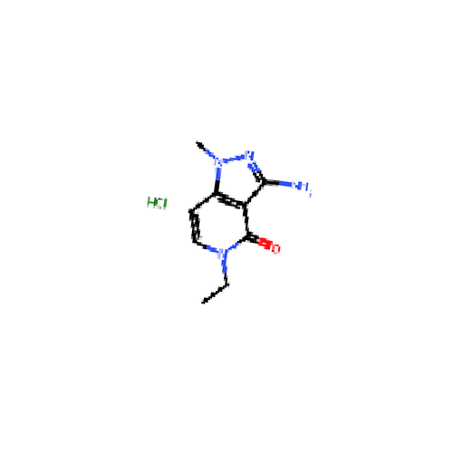 CCn1ccc2c(c(N)nn2C)c1=O.Cl